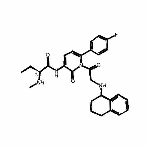 CC[C@H](NC)C(=O)Nc1ccc(-c2ccc(F)cc2)n(C(=O)CNC2CCCc3ccccc32)c1=O